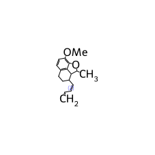 C=C/C=C\C1CCc2ccc(OC)c3c2C1C(C)O3